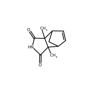 CC12C(=O)NC(=O)C1(C)C1C=CC2C1